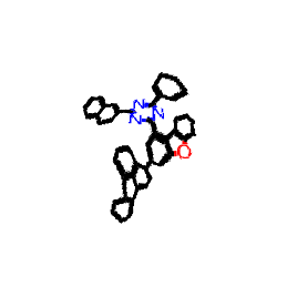 C1=CC(c2nc(-c3ccc4ccccc4c3)nc(-c3cc(-c4ccc5c6c(cccc46)-c4ccccc4-5)cc4oc5c(c34)C=CCC5)n2)=CCC1